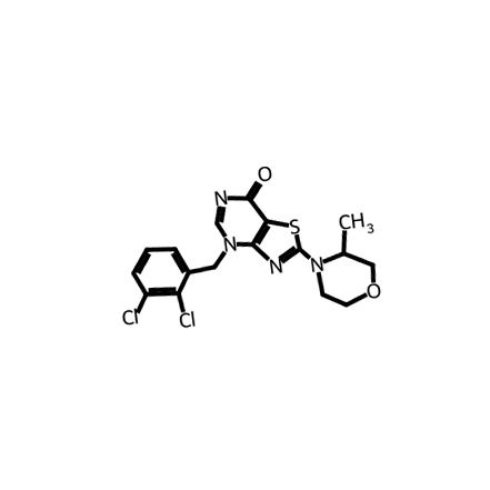 CC1COCCN1c1nc2c(s1)c(=O)ncn2Cc1cccc(Cl)c1Cl